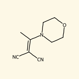 CC(=C(C#N)C#N)N1CCOCC1